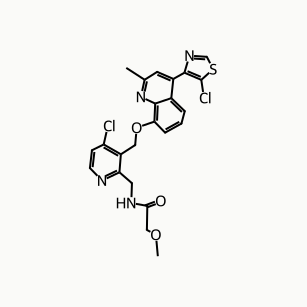 COCC(=O)NCc1nccc(Cl)c1COc1cccc2c(-c3ncsc3Cl)cc(C)nc12